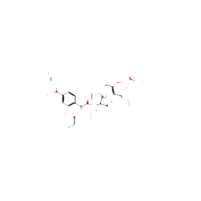 CCOC(=O)c1ccc(C(OC(=O)CCl)C(=O)NC2C(=O)N3C(C(=O)O)=C(COC(C)=O)CS[C@H]23)cc1